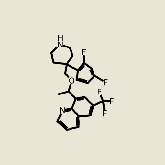 CC(OCC1(c2ccc(F)cc2F)CCNCC1)c1cc(C(F)(F)F)cc2cccnc12